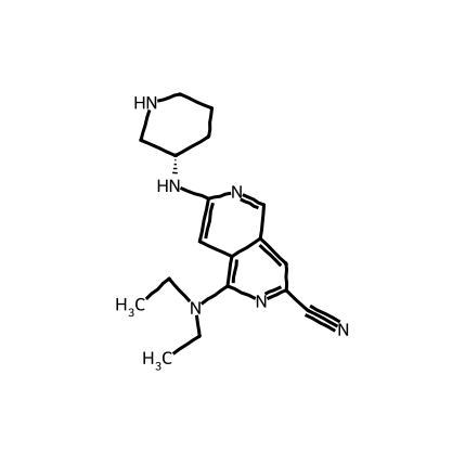 CCN(CC)c1nc(C#N)cc2cnc(N[C@H]3CCCNC3)cc12